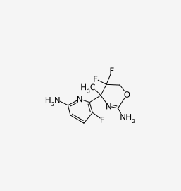 CC1(c2nc(N)ccc2F)N=C(N)OCC1(F)F